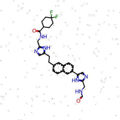 O=CNCc1ncc(-c2ccc3cc(CCc4cnc(CNC(=O)C5CCC(F)(F)CC5)[nH]4)ccc3c2)[nH]1